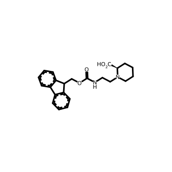 O=C(NCCN1CCCC[C@@H]1C(=O)O)OCC1c2ccccc2-c2ccccc21